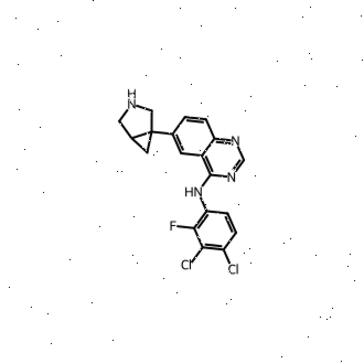 Fc1c(Nc2ncnc3ccc(C45CNCC4C5)cc23)ccc(Cl)c1Cl